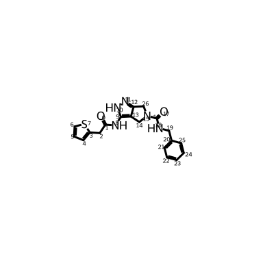 O=C(Cc1cccs1)Nc1[nH]nc2c1CN(C(=O)NCc1ccccc1)C2